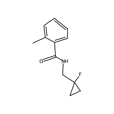 Cc1ccccc1C(=O)NCC1(F)CC1